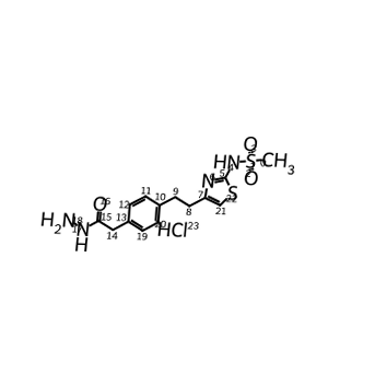 CS(=O)(=O)Nc1nc(CCc2ccc(CC(=O)NN)cc2)cs1.Cl